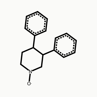 [O]N1CCC(c2ccccc2)C(c2ccccc2)C1